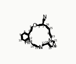 N#CC1=C\O/C=C/c2ccccc2N/C=C\N=C\c2cncn2/C=C/C=C\1